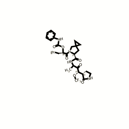 CC(C)C[C@@H](OC(=O)Nc1ccccc1)C(=O)N1CC2(CC2)C[C@H]1C(=O)NC(C)C(=O)[C@@H](OC(F)(F)F)[C@@H]1CCNC1=O